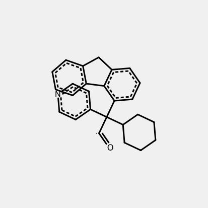 O=[C]C(c1ccncc1)(c1cccc2c1-c1ccccc1C2)C1CCCCC1